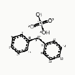 O=S(=O)([O-])O.c1ccc([I+]c2ccccc2)cc1